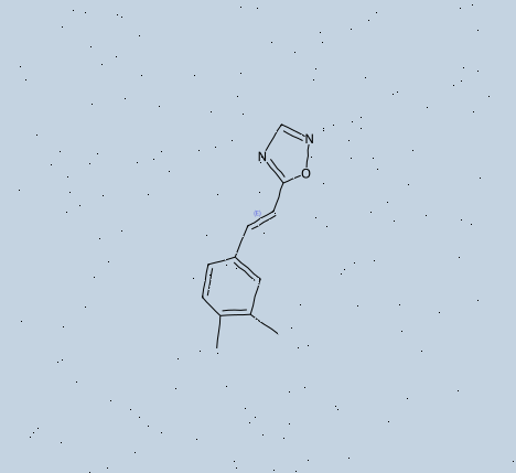 Cc1ccc(/C=C/c2ncno2)cc1C